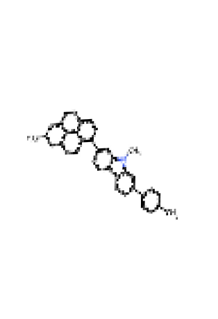 Cc1ccc(-c2ccc3c4ccc(-c5ccc6ccc7cc(C(C)(C)C)cc8ccc5c6c78)cc4n(C)c3c2)cc1